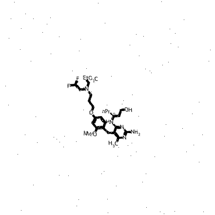 CCC[C@@H](CCO)Nc1nc(N)nc(C)c1Cc1ccc(OCCCN(CC(=O)OCC)CC(F)F)cc1OC